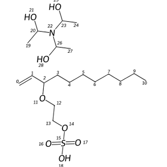 C=CC(CCCCCCCC)OCCOS(=O)(=O)O.CC(O)N(C(C)O)C(C)O